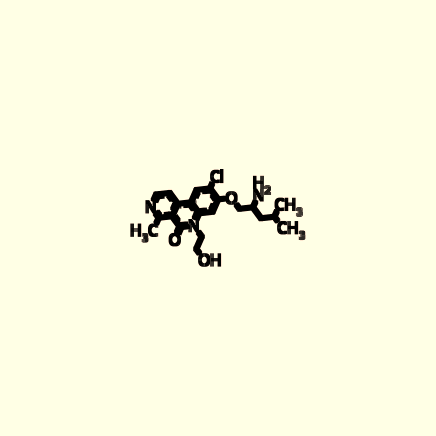 Cc1nccc2c1c(=O)n(CCO)c1cc(OCC(N)CC(C)C)c(Cl)cc21